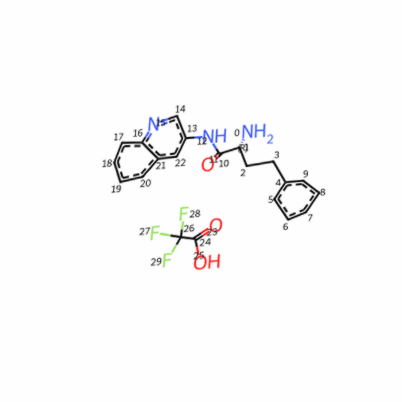 N[C@H](CCc1ccccc1)C(=O)Nc1cnc2ccccc2c1.O=C(O)C(F)(F)F